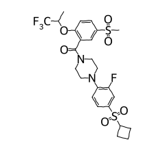 CC(Oc1ccc(S(C)(=O)=O)cc1C(=O)N1CCN(c2ccc(S(=O)(=O)C3CCC3)cc2F)CC1)C(F)(F)F